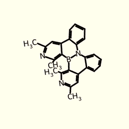 Cc1cc2c(c(C)n1)B1c3c(cc(C)nc3C)-c3ccccc3N1c1ccccc1-2